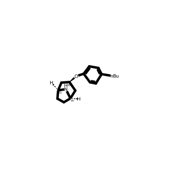 CCCCc1ccc(O[C@H]2C[C@H]3CC[C@@H](C2)N3)cc1